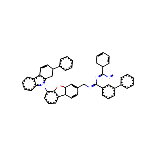 C=N/C(=N\C(=N/CC1=CC2Oc3c(cccc3-n3c4c(c5ccccc53)C=CC(c3ccccc3)C4)C2C=C1)c1cccc(-c2ccccc2)c1)C1C=CC=CC1